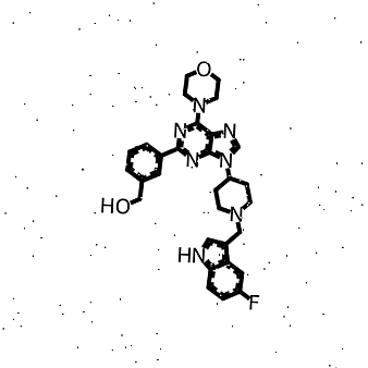 OCc1cccc(-c2nc(N3CCOCC3)c3ncn(C4CCN(Cc5c[nH]c6ccc(F)cc56)CC4)c3n2)c1